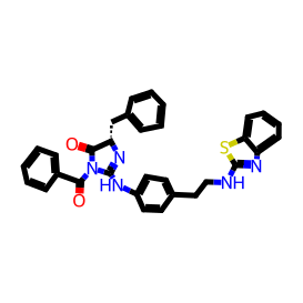 O=C(c1ccccc1)N1C(=O)[C@H](Cc2ccccc2)N=C1Nc1ccc(CCNc2nc3ccccc3s2)cc1